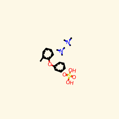 CN(C)C.CN(C)C.Cc1ccccc1Oc1ccccc1.O=S(=O)(O)O